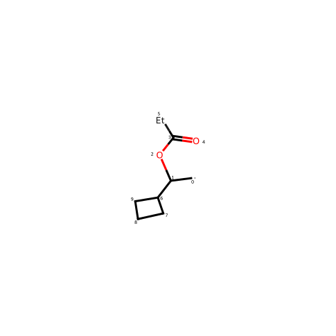 [CH2]C(OC(=O)CC)C1CCC1